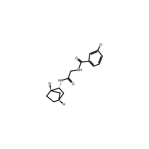 O=C(CNC(=O)c1cccc(Cl)c1)N[C@@H]1C[C@@H]2CC[C@H]1C2